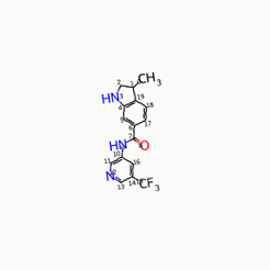 CC1CNc2cc(C(=O)Nc3cncc(C(F)(F)F)c3)ccc21